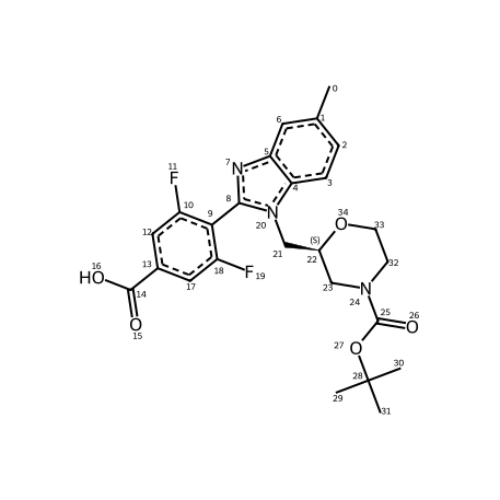 Cc1ccc2c(c1)nc(-c1c(F)cc(C(=O)O)cc1F)n2C[C@@H]1CN(C(=O)OC(C)(C)C)CCO1